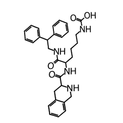 O=C(O)NCCCCC(NC(=O)C1Cc2ccccc2CN1)C(=O)NCC(c1ccccc1)c1ccccc1